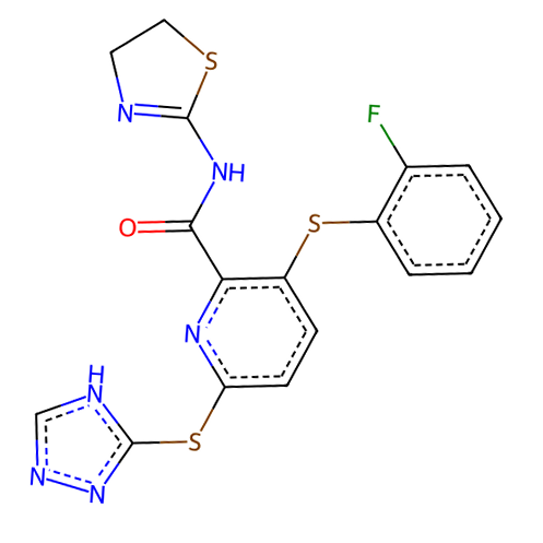 O=C(NC1=NCCS1)c1nc(Sc2nnc[nH]2)ccc1Sc1ccccc1F